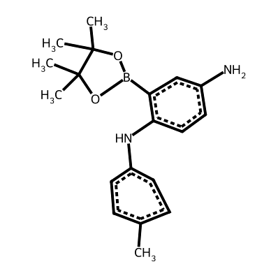 Cc1ccc(Nc2ccc(N)cc2B2OC(C)(C)C(C)(C)O2)cc1